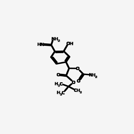 CC(C)(C)OC(=O)C(OC(N)=O)c1ccc(C(=N)N)c(O)c1